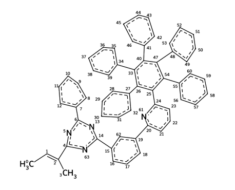 C/C=C(\C)c1nc(-c2ccccc2)nc(-c2cccc(-c3cccc(-c4c(-c5ccccc5)c(-c5ccccc5)c(-c5ccccc5)c(-c5ccccc5)c4-c4ccccc4)n3)c2)n1